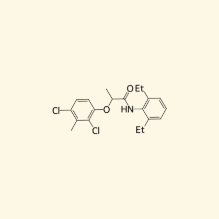 CCc1cccc(CC)c1NC(=O)C(C)Oc1ccc(Cl)c(C)c1Cl